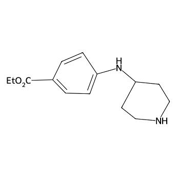 CCOC(=O)c1ccc(NC2CCNCC2)cc1